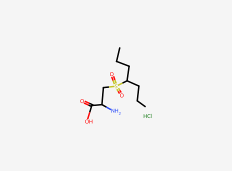 CCCC(CCC)S(=O)(=O)CC(N)C(=O)O.Cl